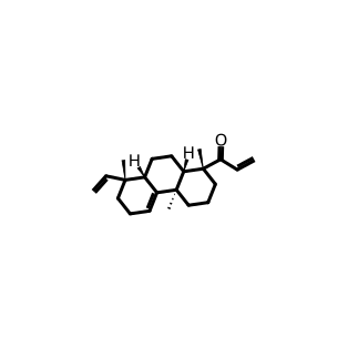 C=CC(=O)[C@]1(C)CCC[C@@]2(C)C3=CCC[C@](C)(C=C)[C@@H]3CC[C@H]12